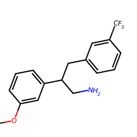 [CH2]COc1cccc(C(CN)Cc2cccc(C(F)(F)F)c2)c1